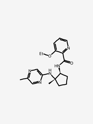 CCOc1cccnc1C(=O)N[C@H]1CCC[C@]1(C)Nc1cnc(C)cn1